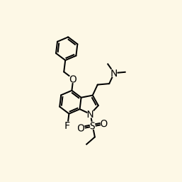 CCS(=O)(=O)n1cc(CCN(C)C)c2c(OCc3ccccc3)ccc(F)c21